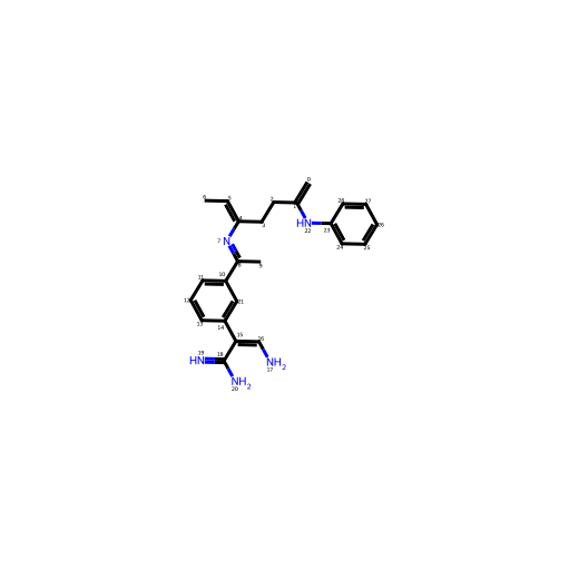 C=C(CCC(=C/C)/N=C(\C)c1cccc(/C(=C/N)C(=N)N)c1)Nc1ccccc1